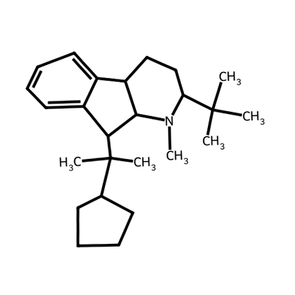 CN1C2C(CCC1C(C)(C)C)c1ccccc1C2C(C)(C)C1CCCC1